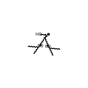 CCCCCCCCC(CCCCCC)COC(=O)CCCCCN(CCCCCC(=O)OCC(CCCCCC)CCCCCCCC)CCN(CCCCO)C1CCC1